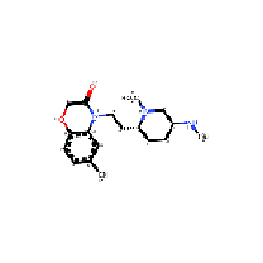 CC(C)(C)N[C@H]1CC[C@H](CCN2C(=O)COc3ccc(C#N)cc32)N(C(=O)O)C1